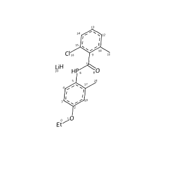 CCOc1ccc(PC(=O)c2c(C)cccc2Cl)c(C)c1.[LiH]